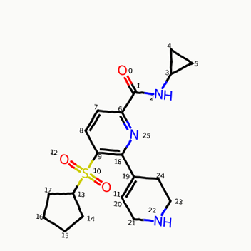 O=C(NC1CC1)c1ccc(S(=O)(=O)C2CCCC2)c(C2=CCNCC2)n1